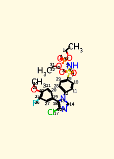 CCOP(=O)(NS(=O)(=O)c1ccc(-n2cnc(Cl)c2-c2ccc(OC)c(F)c2)cc1)OCC